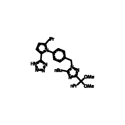 CCCCc1nc(C(CCC)(OC)OC)nn1Cc1ccc(-n2c(-c3nnn[nH]3)ccc2C(C)C)cc1